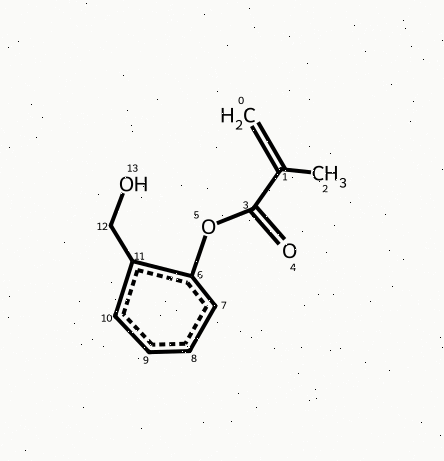 C=C(C)C(=O)Oc1ccccc1CO